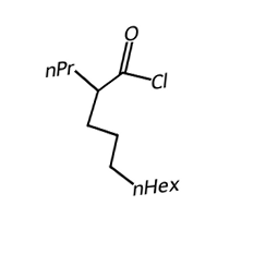 CCCCCCCCCC(CCC)C(=O)Cl